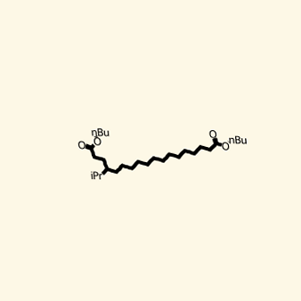 CCCCOC(=O)CCCCCCCCCCCCCC(CCC(=O)OCCCC)C(C)C